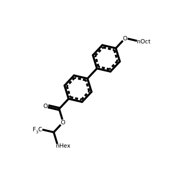 CCCCCCCCOc1ccc(-c2ccc(C(=O)OC(CCCCCC)C(F)(F)F)cc2)cc1